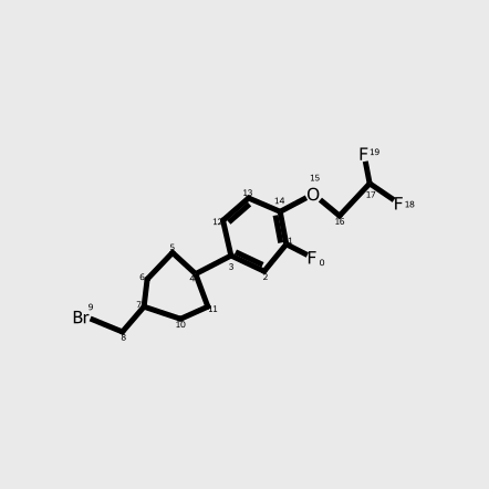 Fc1cc(C2CCC(CBr)CC2)ccc1OCC(F)F